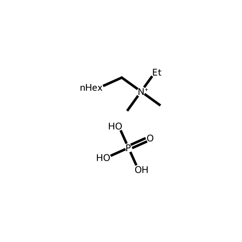 CCCCCCC[N+](C)(C)CC.O=P(O)(O)O